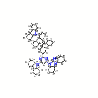 c1ccc([Si](c2ccccc2)(c2ccc(-c3nc(-n4c5ccccc5c5ccccc54)cc(-n4c5ccccc5n5c6ccccc6nc45)n3)cc2)c2cccc(-n3c4ccccc4c4ccccc43)c2)cc1